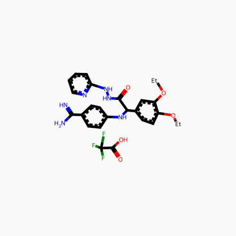 CCOc1ccc(C(Nc2ccc(C(=N)N)cc2)C(=O)NNc2ccccn2)cc1OCC.O=C(O)C(F)(F)F